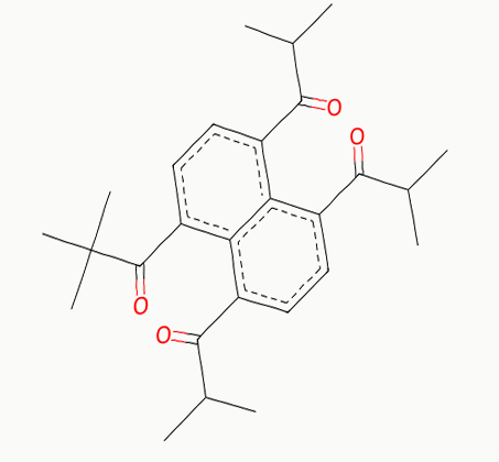 CC(C)C(=O)c1ccc(C(=O)C(C)C)c2c(C(=O)C(C)(C)C)ccc(C(=O)C(C)C)c12